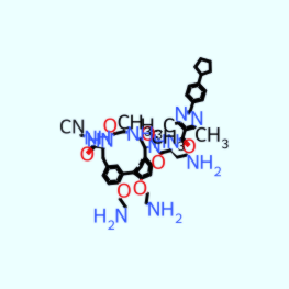 Cc1nc(-c2ccc(C3CCCC3)cc2)nc(C)c1C(=O)N[C@@H](CCN)C(=O)N(C)[C@@H]1C(=O)N[C@@H](C)C(=O)N[C@H](C(=O)NCC#N)Cc2ccc(OCCN)c(c2)-c2cc1ccc2OCCN